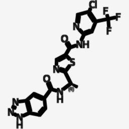 C[C@@H](NC(=O)c1ccc2[nH]nnc2c1)c1ncc(C(=O)Nc2cc(C(F)(F)F)c(Cl)cn2)s1